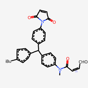 CCC(C)c1ccc(C(c2ccc(N(C)C(=O)/C=C\C=O)cc2)c2ccc(N3C(=O)C=CC3=O)cc2)cc1